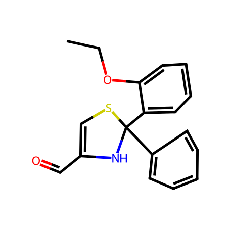 CCOc1ccccc1C1(c2ccccc2)NC(C=O)=CS1